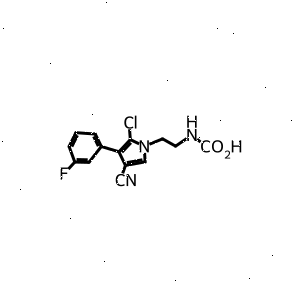 N#Cc1cn(CCNC(=O)O)c(Cl)c1-c1cccc(F)c1